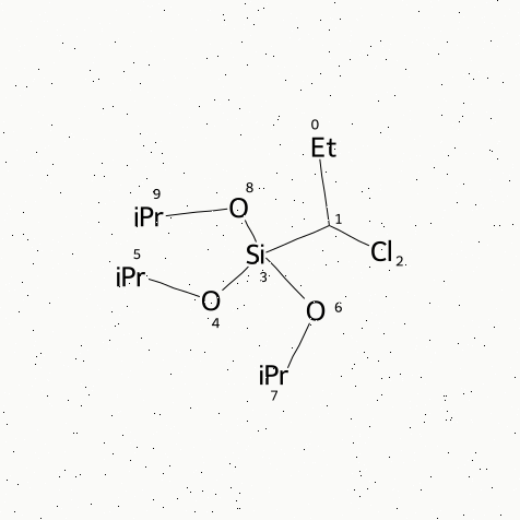 CCC(Cl)[Si](OC(C)C)(OC(C)C)OC(C)C